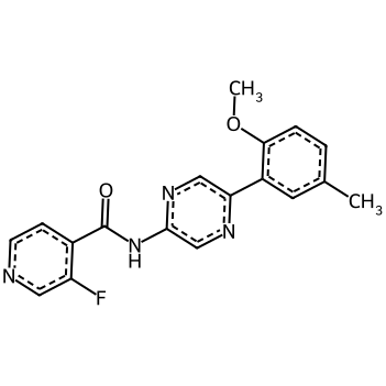 COc1ccc(C)cc1-c1cnc(NC(=O)c2ccncc2F)cn1